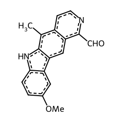 COc1ccc2[nH]c3c(C)c4ccnc(C=O)c4cc3c2c1